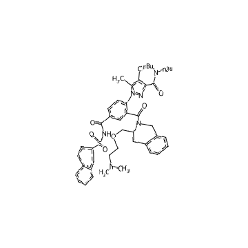 CCCCN(CCCC)C(=O)c1nn(-c2ccc(C(=O)NS(=O)(=O)c3ccc4ccccc4c3)cc2C(=O)N2Cc3ccccc3CC2COCCN(C)C)c(C)c1Cl